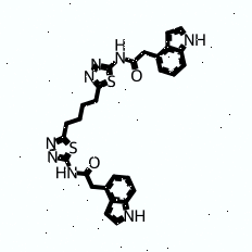 O=C(Cc1cccc2[nH]ccc12)Nc1nnc(CCCCc2nnc(NC(=O)Cc3cccc4[nH]ccc34)s2)s1